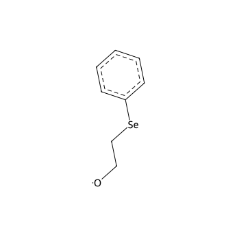 [O]CC[Se]c1ccccc1